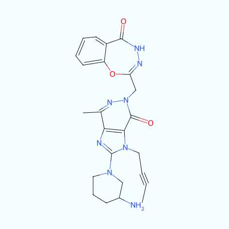 CC#CCn1c(N2CCCC(N)C2)nc2c(C)nn(CC3=NNC(=O)c4ccccc4O3)c(=O)c21